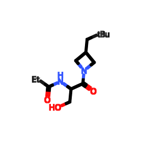 CCC(=O)NC(CO)C(=O)N1CC(CC(C)(C)C)C1